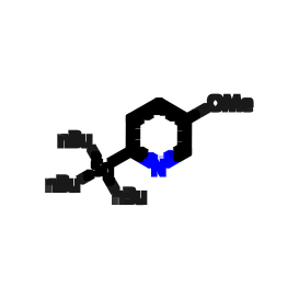 CCC[CH2][Sn]([CH2]CCC)([CH2]CCC)[c]1ccc(OC)cn1